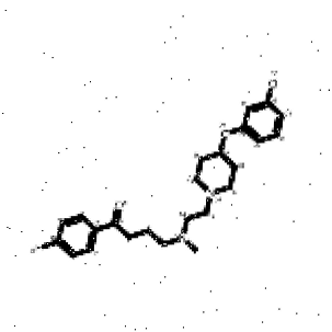 CN(CCCC(=O)c1ccc(F)cc1)CCN1CCC(Oc2cccc(Cl)c2)CC1